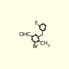 Cc1c(Br)cc(C=O)cc1Cc1cccc(F)c1